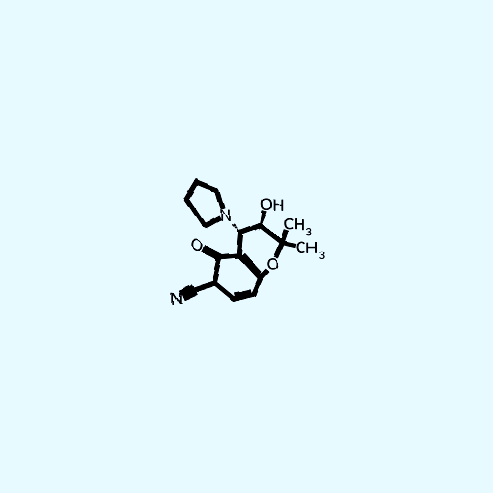 CC1(C)OC2=C(C(=O)C(C#N)C=C2)[C@H](N2CCCC2)[C@H]1O